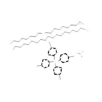 CCCCCCCCCCCCCCCCCCN.CCCCCCCCCCCCCCCCCCN.Cc1ccc([N+](c2ccc(C)cc2)(c2ccc(C)cc2)c2ccc(C)cc2)cc1.[O-]B(O)O